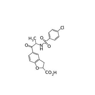 CC(NS(=O)(=O)c1ccc(Cl)cc1)C(=O)c1ccc2c(c1)CC(C(=O)O)O2